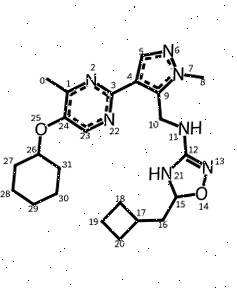 Cc1nc(-c2cnn(C)c2CNC2=NOC(CC3CCC3)N2)ncc1OC1CCCCC1